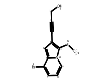 OCC#Cc1cc2c(Br)cccn2c1SC(F)(F)F